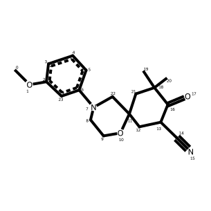 COc1cccc(N2CCOC3(CC(C#N)C(=O)C(C)(C)C3)C2)c1